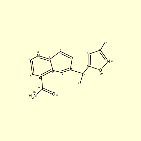 Cc1cc(C(C)c2ccc3nccc(C(N)=O)c3c2)on1